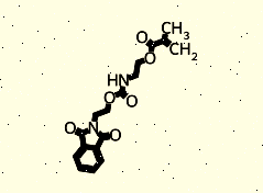 C=C(C)C(=O)OCCNC(=O)OCCN1C(=O)c2ccccc2C1=O